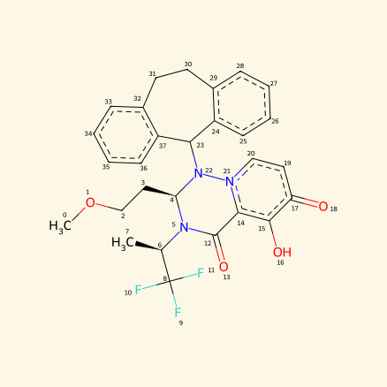 COCC[C@@H]1N([C@H](C)C(F)(F)F)C(=O)c2c(O)c(=O)ccn2N1C1c2ccccc2CCc2ccccc21